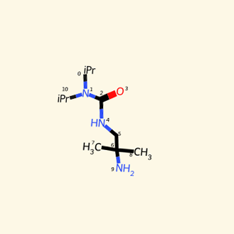 CC(C)N(C(=O)NCC(C)(C)N)C(C)C